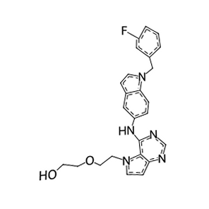 OCCOCCn1ccc2ncnc(Nc3ccc4c(ccn4Cc4cccc(F)c4)c3)c21